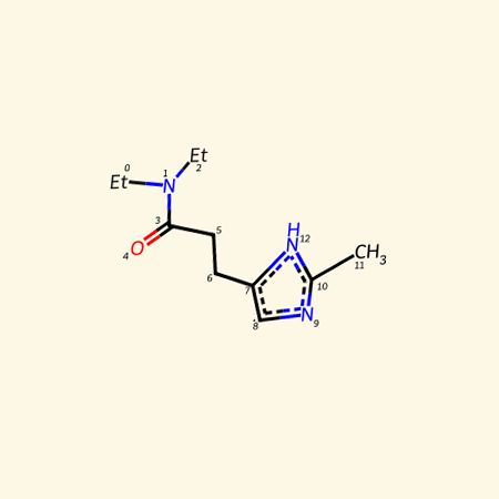 CCN(CC)C(=O)CCc1[c]nc(C)[nH]1